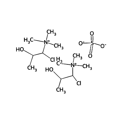 CC(O)C(Cl)[N+](C)(C)C.CC(O)C(Cl)[N+](C)(C)C.O=S(=O)([O-])[O-]